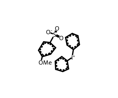 COc1ccc(S(=O)(=O)[O-])cc1.c1ccc([I+]c2ccccc2)cc1